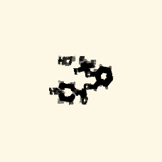 Cl.O=C(OCc1ccccc1OC(F)(F)F)N1CCNCC1